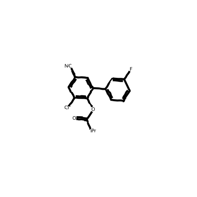 CC(C)C(=O)Oc1c(Cl)cc(C#N)cc1-c1cccc(F)c1